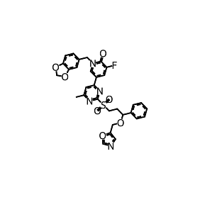 Cc1cc(-c2cc(F)c(=O)n(Cc3ccc4c(c3)OCO4)c2)nc(S(=O)(=O)CCC(OCc2cnco2)c2ccccc2)n1